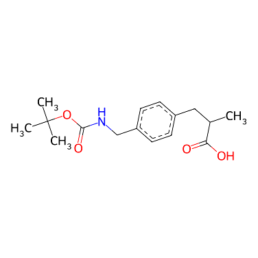 CC(Cc1ccc(CNC(=O)OC(C)(C)C)cc1)C(=O)O